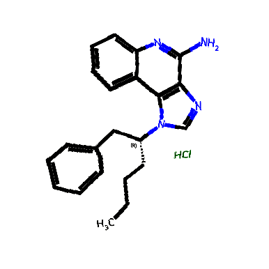 CCCC[C@H](Cc1ccccc1)n1cnc2c(N)nc3ccccc3c21.Cl